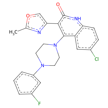 Cc1nc(-c2c(N3CCN(c4cccc(F)c4)CC3)c3cc(Cl)ccc3[nH]c2=O)co1